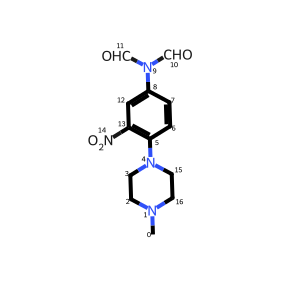 CN1CCN(c2ccc(N(C=O)C=O)cc2[N+](=O)[O-])CC1